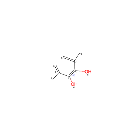 C=C(C)/C(O)=C(/O)C(=C)C